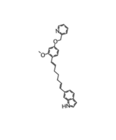 COc1cc(OCc2ccccn2)ccc1/C=C/CCC/C=C/c1ccc2cc[nH]c2c1